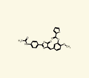 COc1ccc(/C=C2/N=C(c3ccc(NC(C)=O)cc3)OC2=O)cc1OC(=O)c1cccs1